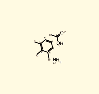 CC(=O)O.Cc1cccc(C)c1C.N